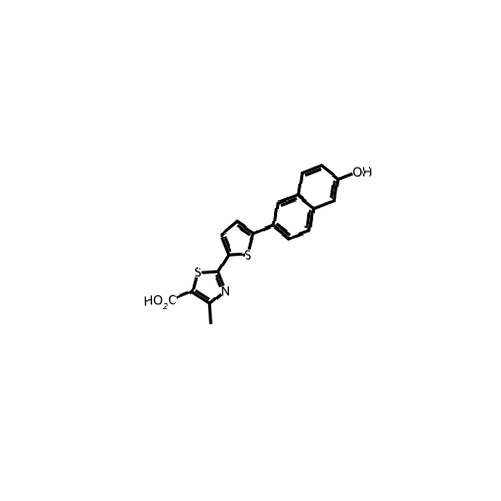 Cc1nc(-c2ccc(-c3ccc4cc(O)ccc4c3)s2)sc1C(=O)O